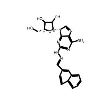 Nc1nc(NN=Cc2ccc3ccccc3c2)nc2c1ncn2[C@@H]1O[C@H](CO)C(O)C1O